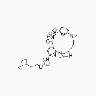 CC1(C)C[C@@H]2CCCNc3cccc(n3)S(=O)(=O)NC(=O)c3ccc(-n4ccc(OCCC5CCC56CC6)n4)nc3N1C2